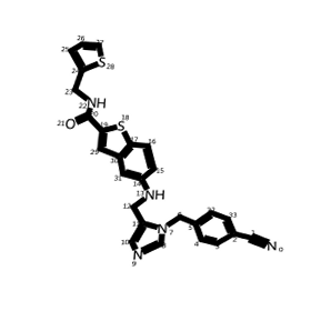 N#Cc1ccc(Cn2cncc2CNc2ccc3sc(C(=O)NCc4cccs4)cc3c2)cc1